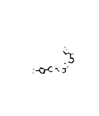 CCN(C(=O)[C@@H]1CCN(CC(=O)N2CC=C(c3ccc(-c4ncn(C)n4)cc3)CC2)C1)c1ccc2[nH]nc(-c3ccn(C)n3)c2n1